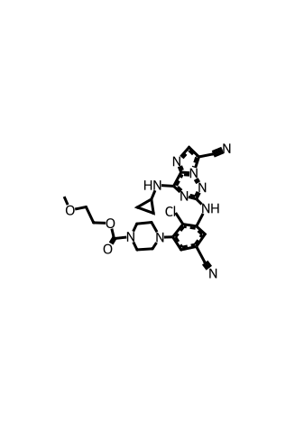 COCCOC(=O)N1CCN(c2cc(C#N)cc(Nc3nc(NC4CC4)c4ncc(C#N)n4n3)c2Cl)CC1